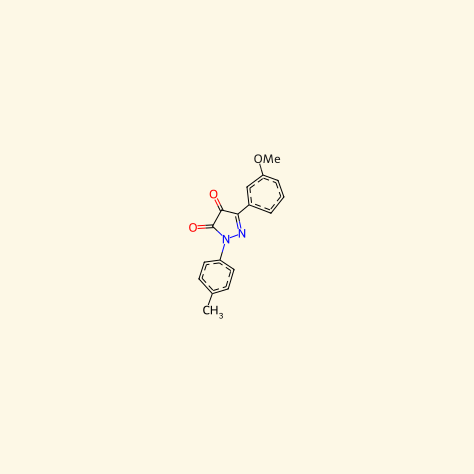 COc1cccc(C2=NN(c3ccc(C)cc3)C(=O)C2=O)c1